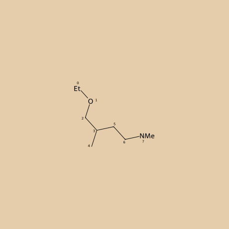 CCOCC(C)CCNC